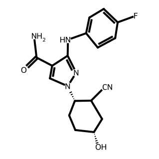 N#CC1C[C@H](O)CC[C@@H]1n1cc(C(N)=O)c(Nc2ccc(F)cc2)n1